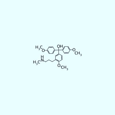 CNCCCc1cc(C(O)(c2ccc(OC)cc2)c2ccc(OC)cc2)ccc1OC